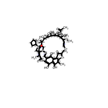 CO[C@H]1/C=C/O[C@@]2(C)Oc3c(C)c(O)c4c(O)c(c(/C=N/N5CCN(C6CCCC6)CC5)c(O)c4c3C2=O)NC(=O)/C(C)=C\C=C\[C@H](C)C(O)[C@@H](C)C(O)[C@@H](C)[C@H](OC(C)=O)[C@@H]1C